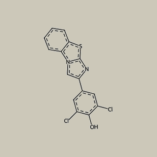 Oc1c(Cl)cc(-c2cn3c(n2)sc2ccccc23)cc1Cl